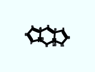 C1=CC2=Cc3cccn3CN2C1